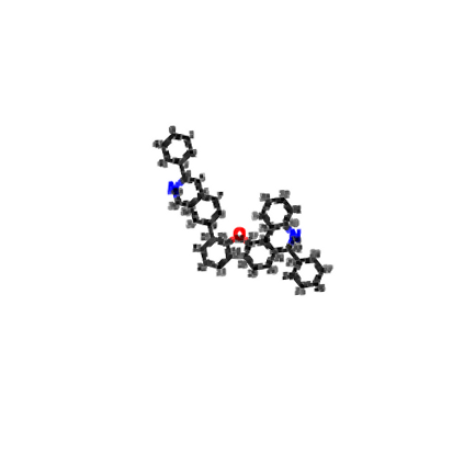 c1ccc(-c2cc3ccc(-c4cccc5c4oc4c5ccc5c(-c6ccccc6)nc6ccccc6c54)cc3cn2)cc1